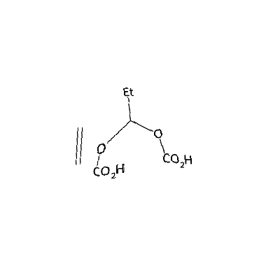 C=C.CCC(OC(=O)O)OC(=O)O